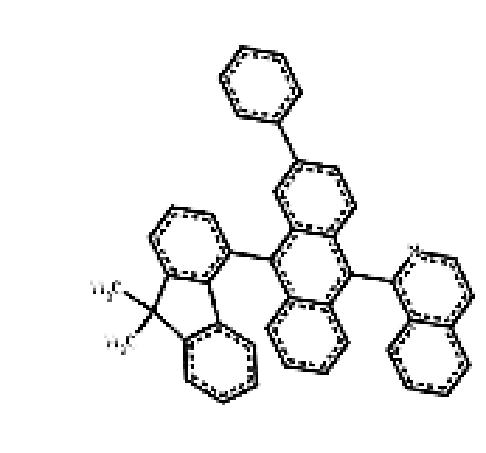 CC1(C)c2ccccc2-c2c(-c3c4ccccc4c(-c4nccc5ccccc45)c4ccc(-c5ccccc5)cc34)cccc21